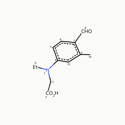 CCN(CC(=O)O)c1ccc(C=O)c(C)c1